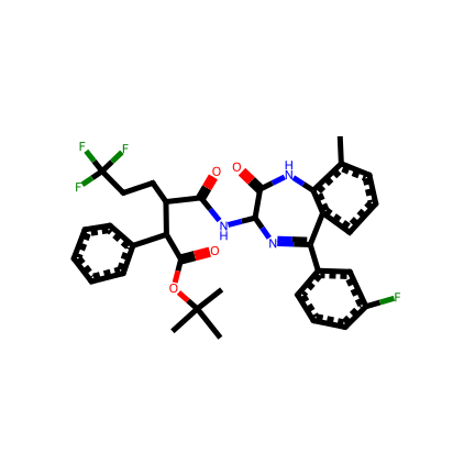 Cc1cccc2c1NC(=O)C(NC(=O)C(CCC(F)(F)F)C(C(=O)OC(C)(C)C)c1ccccc1)N=C2c1cccc(F)c1